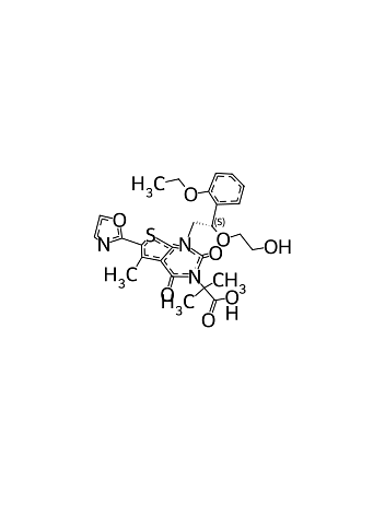 CCOc1ccccc1[C@@H](Cn1c(=O)n(C(C)(C)C(=O)O)c(=O)c2c(C)c(-c3ncco3)sc21)OCCO